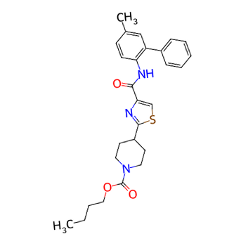 CCCCOC(=O)N1CCC(c2nc(C(=O)Nc3ccc(C)cc3-c3ccccc3)cs2)CC1